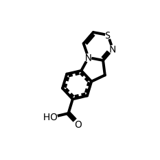 O=C(O)c1ccc2c(c1)CC1=NSC=CN12